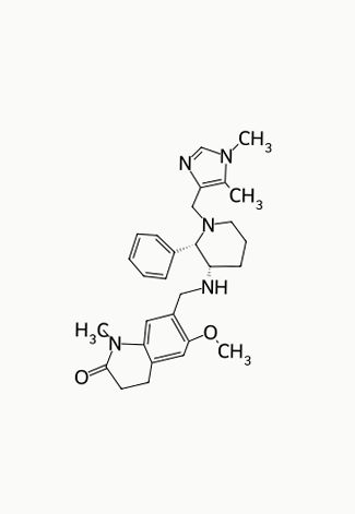 COc1cc2c(cc1CN[C@H]1CCCN(Cc3ncn(C)c3C)[C@H]1c1ccccc1)N(C)C(=O)CC2